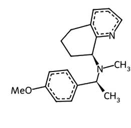 COc1ccc([C@H](C)N(C)[C@H]2CCCc3cccnc32)cc1